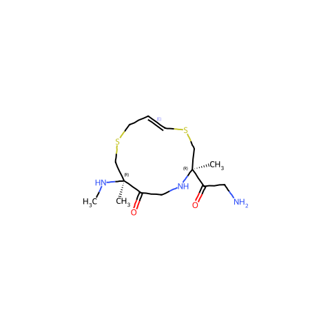 CN[C@@]1(C)CSC/C=C/SC[C@@](C)(C(=O)CN)NCC1=O